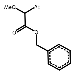 COC(C(C)=O)C(=O)OCc1ccccc1